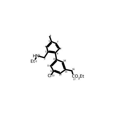 CCNCc1cc(C)ccc1-c1cc(Cl)cc(CC(=O)OCC)c1